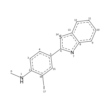 CNc1ccc(-c2nc3ccccc3s2)cc1I